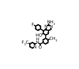 Cc1ccc(C(=O)Nc2cc(C(F)(F)F)ccn2)cc1-c1cc2cnc(N)nc2c(-c2ccc(F)cc2)c1O